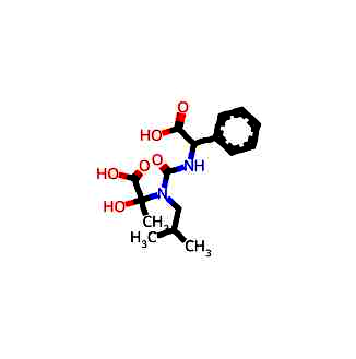 CC(C)CN(C(=O)NC(C(=O)O)c1ccccc1)C(C)(O)C(=O)O